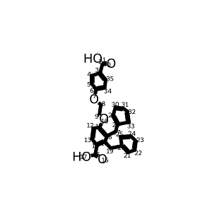 O=C(O)c1ccc(OCCOc2ccc(C(=O)O)c(Cc3ccccc3)c2Cc2ccccc2)cc1